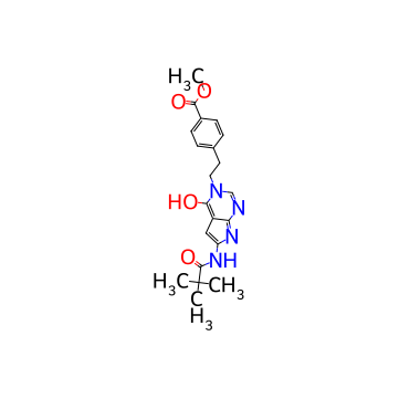 COC(=O)c1ccc(CCn2cnc3nc(NC(=O)C(C)(C)C)cc-3c2O)cc1